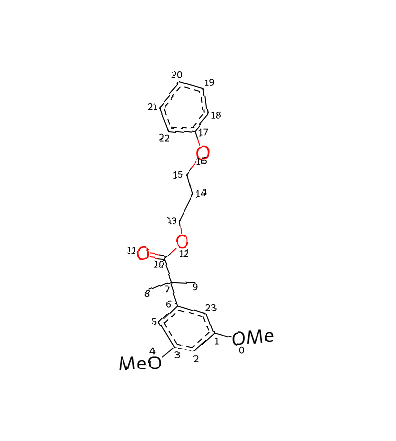 COc1cc(OC)cc(C(C)(C)C(=O)OCCCOc2ccccc2)c1